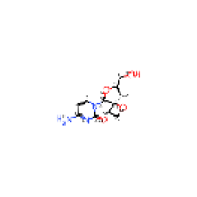 Nc1ccn(C2OC(CO)C[C@]23CCO3)c(=O)n1